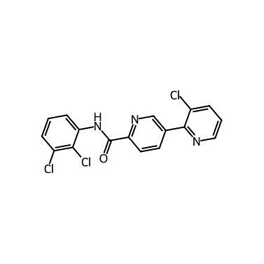 O=C(Nc1cccc(Cl)c1Cl)c1ccc(-c2ncccc2Cl)cn1